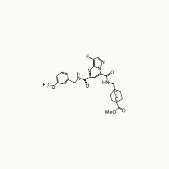 COC(=O)C12CCC(CNC(=O)c3cc(C(=O)NCc4cccc(OC(F)(F)F)c4)nc4c(F)cnn34)(CC1)CC2